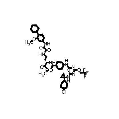 COC(=O)[C@H](CCNC(=O)C(=O)Nc1ccc(-c2ccccc2)c(OC)c1)NC(=O)c1ccc(Nc2nc(NC3(c4ccc(Cl)cc4)CC3)nc(OCC(F)(F)F)n2)cc1